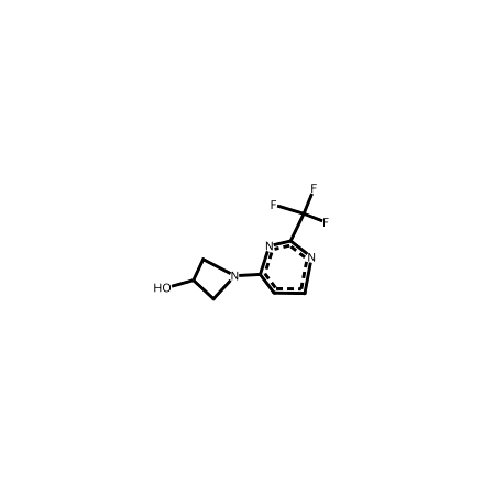 OC1CN(c2ccnc(C(F)(F)F)n2)C1